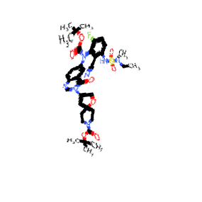 CCN(C)S(=O)(=O)Nc1ccc(F)c(N(C(=O)OC(C)(C)C)c2ccc3ncn([C@H]4COC5(CCN(C(=O)OC(C)(C)C)CC5)C4)c(=O)c3c2)c1C#N